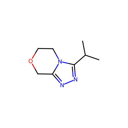 CC(C)c1nnc2n1CCOC2